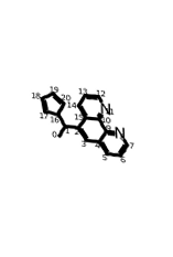 CC(c1cc2cccnc2c2ncccc12)C1C=CC=C1